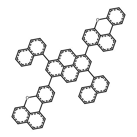 c1ccc2c(c1)Oc1ccc(-c3cc(-c4cccc5ccccc45)c4ccc5c(-c6ccc7c(c6)Oc6cccc8cccc-7c68)cc(-c6cccc7ccccc67)c6ccc3c4c56)c3cccc-2c13